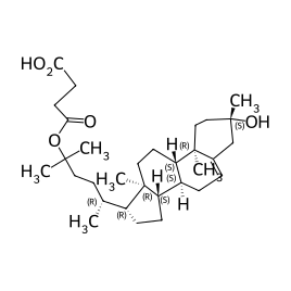 C[C@H](CCC(C)(C)OC(=O)CCC(=O)O)[C@H]1CC[C@H]2[C@@H]3CC=C4C[C@@](C)(O)CC[C@]4(C)[C@H]3CC[C@]12C